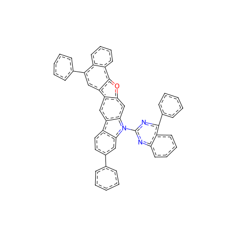 c1ccc(-c2ccc3c4cc5c(cc4n(-c4nc(-c6ccccc6)c6ccccc6n4)c3c2)oc2c3ccccc3c(-c3ccccc3)cc52)cc1